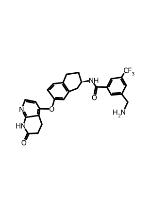 NCc1cc(C(=O)N[C@@H]2CCc3ccc(Oc4ccnc5c4CCC(=O)N5)cc3C2)cc(C(F)(F)F)c1